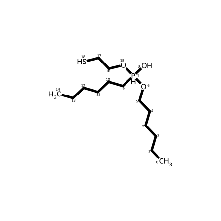 CCCCCCO[PH](O)(CCCCCC)OCCS